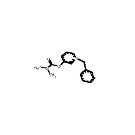 CN(C)C(=O)Oc1ccc[n+](Cc2ccccc2)c1